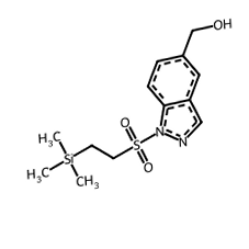 C[Si](C)(C)CCS(=O)(=O)n1ncc2cc(CO)ccc21